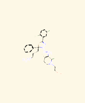 NCCCC1(c2ccccc2)SC(c2cc(F)ccc2F)=NN1N1NC2=C(CCN(CCO)C2F)S1